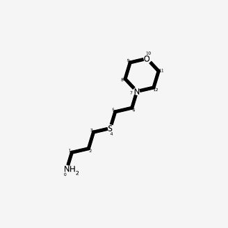 NCCCSCCN1CCOCC1